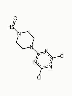 O=[SH]N1CCN(c2nc(Cl)nc(Cl)n2)CC1